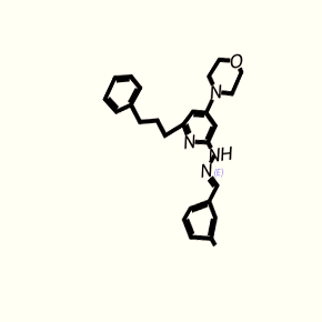 Cc1cccc(/C=N/Nc2cc(N3CCOCC3)cc(CCCc3ccccc3)n2)c1